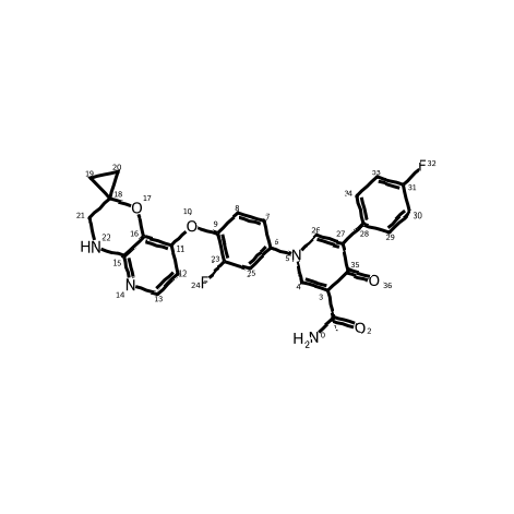 NC(=O)c1cn(-c2ccc(Oc3ccnc4c3OC3(CC3)CN4)c(F)c2)cc(-c2ccc(F)cc2)c1=O